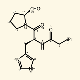 CC(C)CC(=O)N[C@@H](Cc1c[nH]cn1)C(=O)N1CCC[C@H]1[C]=O